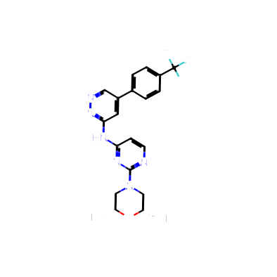 C[C@@H]1CN(c2nccc(Nc3cc(-c4ccc(C(F)(F)F)cc4)cnn3)n2)C[C@H](C)O1